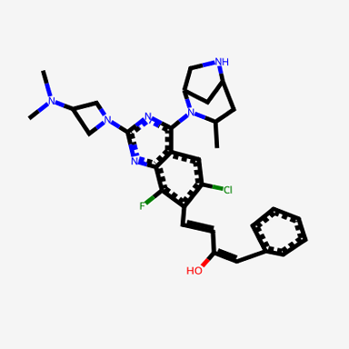 CC1CC2CC(CN2)N1c1nc(N2CC(N(C)C)C2)nc2c(F)c(/C=C/C(O)=C\c3ccccc3)c(Cl)cc12